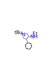 CCNC1CN(C(C)(C)C)CC1c1ccccc1